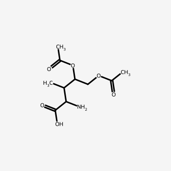 CC(=O)OCC(OC(C)=O)C(C)C(N)C(=O)O